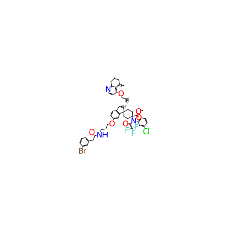 COC(=O)C1(N(C(=O)C(F)(F)F)c2cccc(Cl)c2)CCC2(CC1)c1cc(OCCCNC(=O)Cc3cccc(Br)c3)ccc1C[C@@H]2C[C@@H](C)COc1ccnc2c1[C@H](C)CCC2